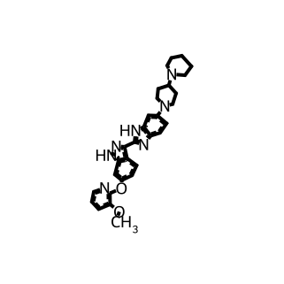 COc1cccnc1Oc1ccc2c(-c3nc4ccc(N5CCC(N6CCCCC6)CC5)cc4[nH]3)n[nH]c2c1